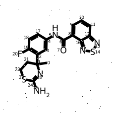 CC1(c2cc(NC(=O)c3cccc4nsnc34)ccc2F)CCSC(N)=N1